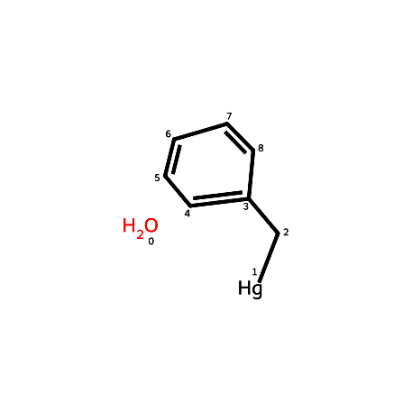 O.[Hg][CH2]c1ccccc1